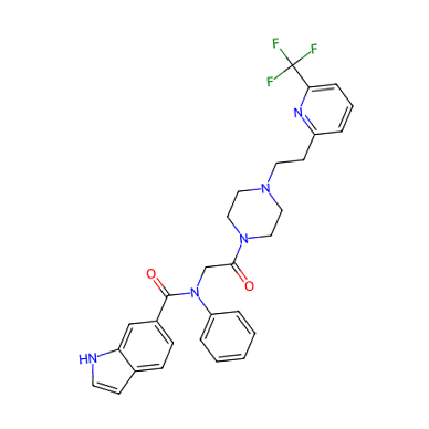 O=C(CN(C(=O)c1ccc2cc[nH]c2c1)c1ccccc1)N1CCN(CCc2cccc(C(F)(F)F)n2)CC1